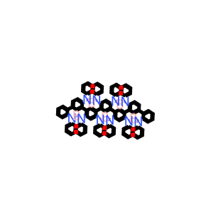 c1ccc(N2B3c4c(ccc5c4-c4c(cc6c7c4B(N5c4ccccc4)N(c4ccccc4)c4cc5c8c(c4-7)B(N6c4ccccc4)N(c4ccccc4)c4cc6c7c(c4-8)B(N(c4ccccc4)c4ccc8c(c4-7)B(N(c4ccccc4)c4ccccc4-8)N6c4ccccc4)N5c4ccccc4)N3c3ccccc3)-c3ccccc32)cc1